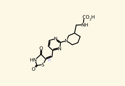 O=C(O)NCC1CCCN(c2nccc(/C=C3/SC(=O)NC3=O)n2)C1